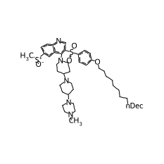 CCCCCCCCCCCCCCCCCCOc1ccc(S(=O)(=O)c2cnc3ccc([S@@+](C)[O-])cc3c2N2CCC(N3CCC(N4CCN(C)CC4)CC3)CC2)cc1